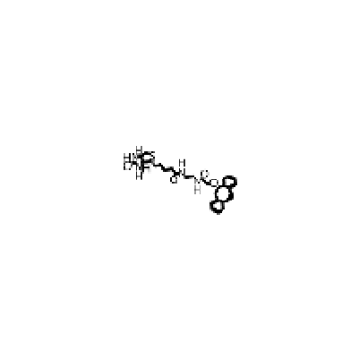 O=C(CCCC[C@@H]1SC[C@@H]2NC(=O)N[C@@H]21)NCCNC(=O)COC1Cc2ccccc2C#Cc2ccccc21